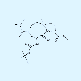 COC(=O)C1CC[C@@H]2CCN(C(=O)C(C)C)CC(NC(=O)OC(C)(C)C)C(=O)N12